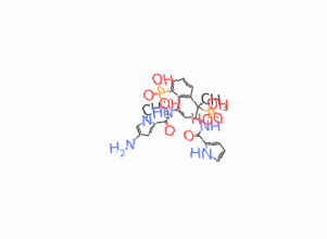 Cn1cc(N)cc1C(=O)NC1=CC(NC(=O)c2ccc[nH]2)C(C)(P(=O)(O)O)c2cccc(P(=O)(O)O)c21